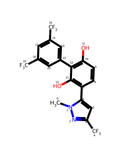 Cn1nc(C(F)(F)F)cc1-c1ccc(O)c(-c2cc(C(F)(F)F)cc(C(F)(F)F)c2)c1O